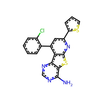 Nc1ncnc2c1sc1nc(-c3cccs3)cc(-c3ccccc3Cl)c12